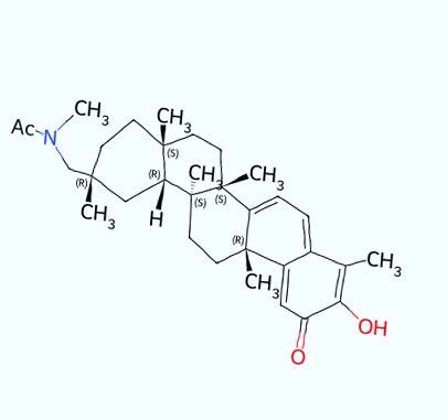 CC(=O)N(C)C[C@]1(C)CC[C@]2(C)CC[C@]3(C)C4=CC=C5C(=CC(=O)C(O)=C5C)[C@]4(C)CC[C@@]3(C)[C@@H]2C1